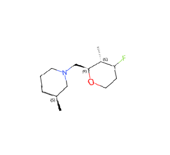 C[C@H]1CCCN(C[C@@H]2OCCC(F)[C@H]2C)C1